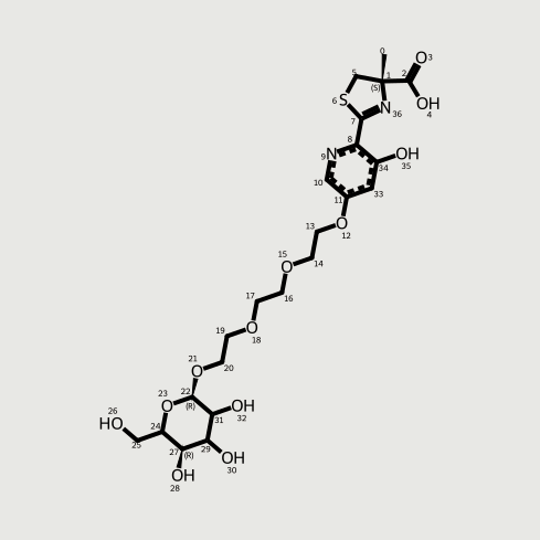 C[C@]1(C(=O)O)CSC(c2ncc(OCCOCCOCCO[C@@H]3OC(CO)[C@H](O)C(O)C3O)cc2O)=N1